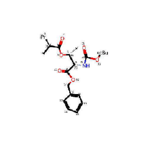 CC(C)[C@H](C)C(=O)O[C@H](C)[C@H](NC(=O)OC(C)(C)C)C(=O)OCc1ccccc1